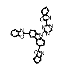 c1ccc2oc(-c3ccc4c(c3)c3cc(-c5nc6ccccc6o5)ccc3n4-c3ncnc(-c4nc5ccccc5o4)n3)nc2c1